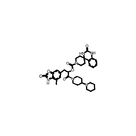 Cc1cc(CC(OC(=O)N2CCC3(CC2)NC(=O)Nc2ccccc23)C(=O)N2CCC(N3CCCCC3)CC2)cc2oc(=O)[nH]c12